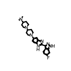 CN(C)C1CCN(C2CCN(c3ccc4[nH]c(-c5n[nH]c6cc(F)ccc56)nc4c3)CC2)CC1